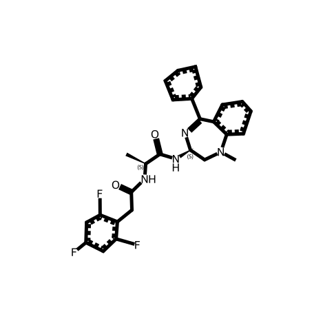 C[C@H](NC(=O)Cc1c(F)cc(F)cc1F)C(=O)N[C@@H]1CN(C)c2ccccc2C(c2ccccc2)=N1